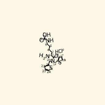 Cl.N[C@H](CCCCNC(=O)O)C(=O)N(Cc1cccs1)Cc1cccs1